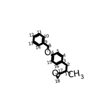 C[C@@H](Cc1ccc(OCc2ccccc2)cc1)[C@H]1CO1